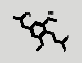 COc1cc(CC(C)N)cc(OC)c1OCC(F)F.Cl